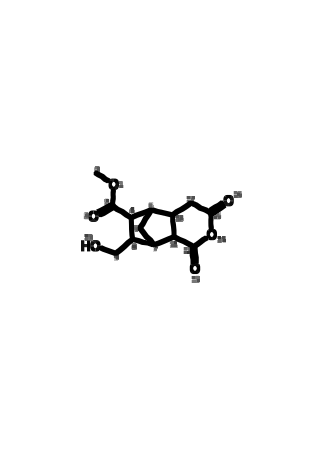 COC(=O)C1C2CC(C1CO)C1C(=O)OC(=O)CC21